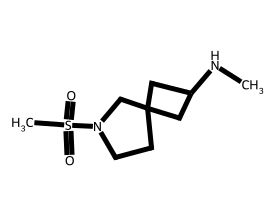 CNC1CC2(CCN(S(C)(=O)=O)C2)C1